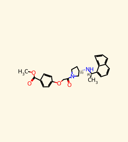 COC(=O)c1ccc(OCC(=O)N2CC[C@H](N[C@H](C)c3cccc4ccccc34)C2)cc1